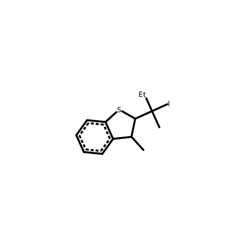 CCC(C)(I)C1Sc2ccccc2C1C